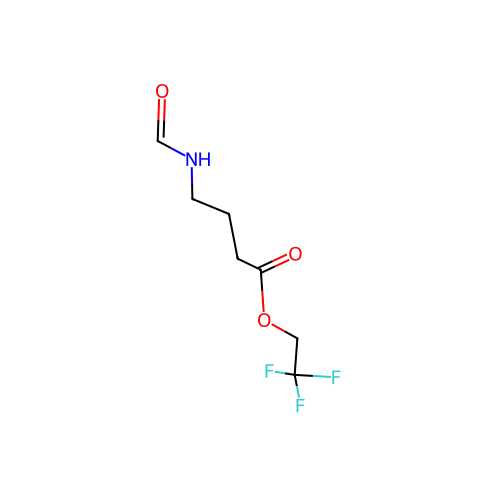 O=CNCCCC(=O)OCC(F)(F)F